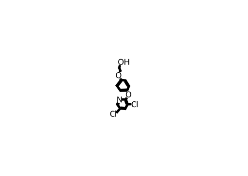 OCCOc1ccc(Oc2ncc(Cl)cc2Cl)cc1